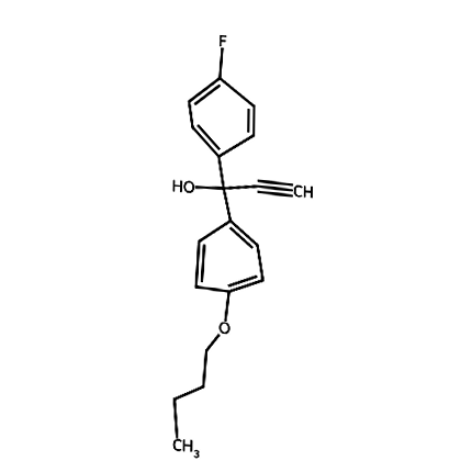 C#CC(O)(c1ccc(F)cc1)c1ccc(OCCCC)cc1